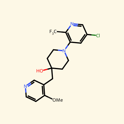 COc1ccncc1CC1(O)CCN(c2cc(Cl)cnc2C(F)(F)F)CC1